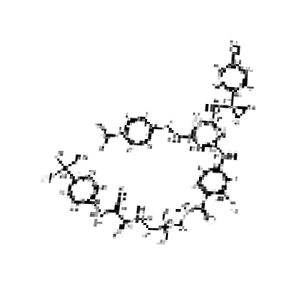 CC(C)c1ccc(COc2nc(Nc3ccc(C(=O)NCC(C)(C)CNC(=O)C(=O)Nc4ccc(C(C)(F)F)cc4)c(F)c3)nc(NC3(c4ccc(Cl)cc4)CC3)n2)cc1